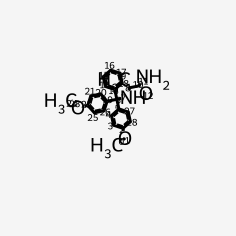 COc1ccc(C(N[C@@H](C)C(N)=O)(c2ccccc2)c2ccc(OC)cc2)cc1